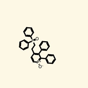 O=P(CCc1cc[p+]([O-])c(-c2ccccc2)c1-c1ccccc1)(c1ccccc1)c1ccccc1